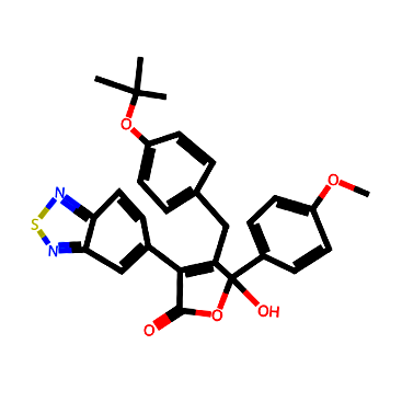 COc1ccc(C2(O)OC(=O)C(c3ccc4nsnc4c3)=C2Cc2ccc(OC(C)(C)C)cc2)cc1